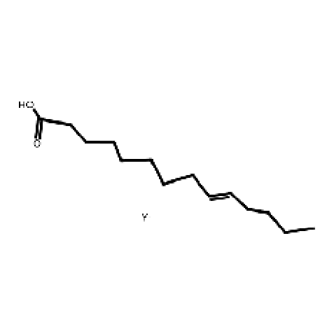 CCCCC=CCCCCCCCC(=O)O.[Y]